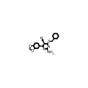 N#Cc1c(SCc2ccccc2)nc(N)nc1-c1ccc2c(c1)OCO2